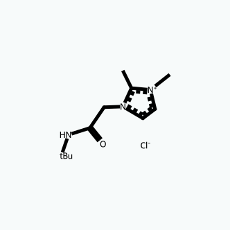 Cc1n(CC(=O)NC(C)(C)C)cc[n+]1C.[Cl-]